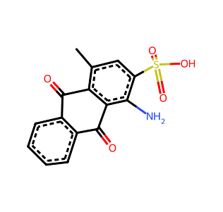 Cc1cc(S(=O)(=O)O)c(N)c2c1C(=O)c1ccccc1C2=O